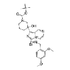 COc1ccc(CN[N+]23C=CN=CC2=C(C2(O)CCCN(C(=O)OC(C)(C)C)C2)N=C3Br)c(OC)c1